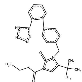 CCCC(=O)n1cc(C(C)(C)C)n(Cc2ccc(-c3ccccc3-c3nnn[nH]3)cc2)c1=O